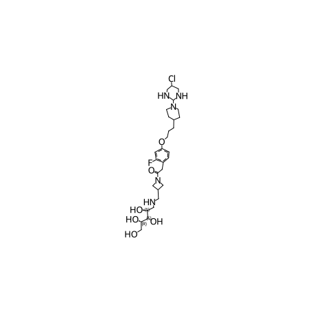 O=C(Cc1ccc(OCCCC2CCN(C3NCC(Cl)CN3)CC2)cc1F)N1CC(CNC[C@H](O)[C@H](O)[C@H](O)CO)C1